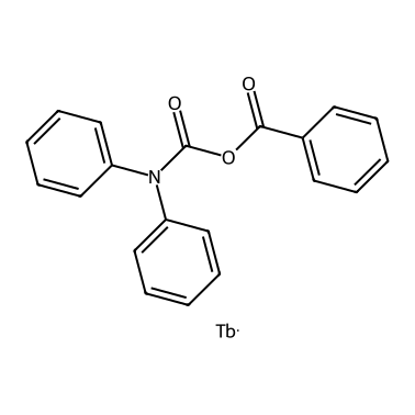 O=C(OC(=O)N(c1ccccc1)c1ccccc1)c1ccccc1.[Tb]